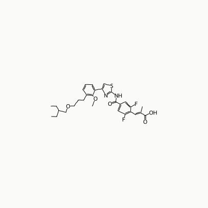 CCC(CC)COCCCc1cccc(-c2csc(NC(=O)c3cc(F)c(C=C(C)C(=O)O)c(F)c3)n2)c1OC